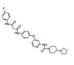 O=C(CC(=O)Nc1ccc(Oc2ccnc(NC(=O)N3CCC(N4CCCC4)CC3)c2)cc1)Nc1ccc(F)cc1